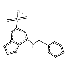 CS(=O)(=O)c1nc(NCc2ccccc2)c2nccn2n1